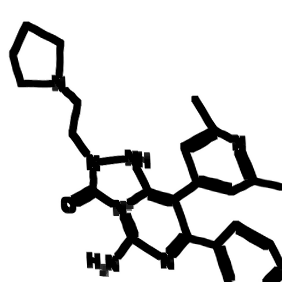 Cc1cc(-c2c(-c3ccccc3)nc(N)[n+]3c(=O)n(CCN4CCCC4)[nH]c23)cc(C)n1